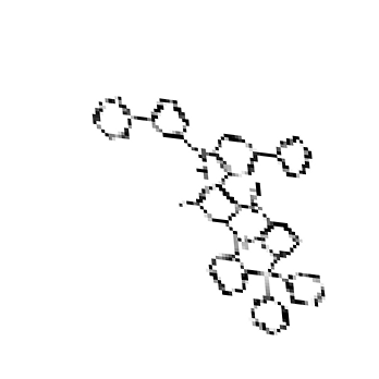 Cc1cc(-c2cc(-c3ccccc3)ccc2Nc2cccc(-c3ccccc3)c2)c2c(c1)N1c3ccccc3C(c3ccccc3)(c3ccccc3)c3cccc(c31)B2